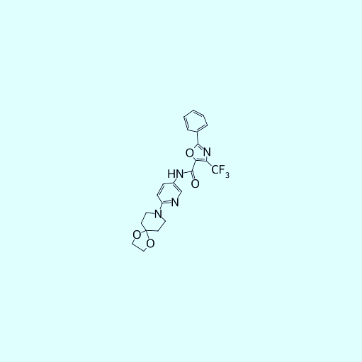 O=C(Nc1ccc(N2CCC3(CC2)OCCO3)nc1)c1oc(-c2ccccc2)nc1C(F)(F)F